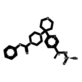 C[C@H](N[S@@+]([O-])C(C)(C)C)c1ccc(C2(N3CCN(C(=O)Oc4ccccc4)CC3)CCOCC2)nc1